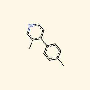 [CH2]c1cnccc1-c1ccc(C)cc1